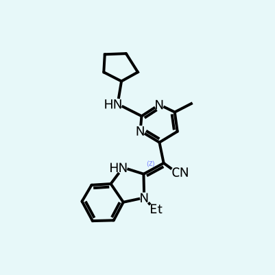 CCN1/C(=C(\C#N)c2cc(C)nc(NC3CCCC3)n2)Nc2ccccc21